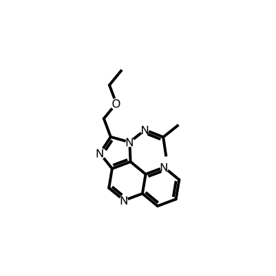 CCOCc1nc2cnc3cccnc3c2n1N=C(C)C